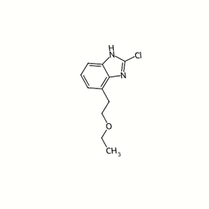 CCOCCc1cccc2[nH]c(Cl)nc12